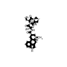 CC(C)C[C@H]1C(=O)N2CSC[C@H]2[C@]2(O)O[C@](NC(=O)[C@@H]3C=C4c5cccc6[nH]cc(c56)C[C@H]4N(C)C3)(C(C)C)C(=O)N12